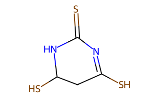 S=C1N=C(S)CC(S)N1